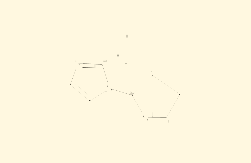 Cl.Cl.c1cn(C2CCCN2)cn1